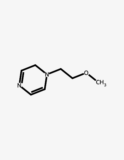 COCCN1C=CN=CC1